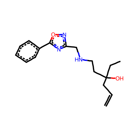 C=CCC(O)(CC)CCNCc1noc(-c2ccccc2)n1